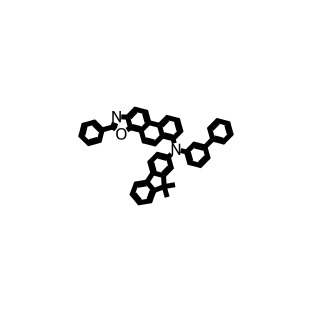 CC1(C)c2ccccc2-c2ccc(N(c3cccc(-c4ccccc4)c3)c3cccc4c3ccc3c4ccc4nc(-c5ccccc5)oc43)cc21